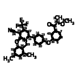 CON(C)C(=O)c1cccc(Oc2ccc(-c3cc(C(F)(F)F)c(C#N)c(=O)n3Cc3ccc(C)cc3C)cc2)c1